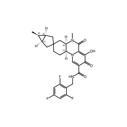 C[C@H]1[C@H]2CC3(CC[C@H]4[C@@H](C3)N(C)C(=O)c3c(O)c(=O)c(C(=O)NCc5c(F)cc(F)cc5F)cn34)C[C@@H]12